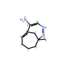 CC12CCCC=C(C1)C(N)=CN=N2